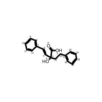 O=C(O)C(O)(C=Cc1ccccc1)CCc1ccccc1